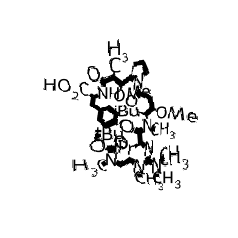 CC[C@H](C)[C@@H]([C@@H](CC(=O)N1CCC[C@H]1[C@H](OC)[C@@H](C)C(=O)NC(Cc1ccccc1)C(=O)O)OC)N(C)C(=O)[C@@H](/N=C(/N(C)C)N(C)CCN(C)C(=O)OC(C)(C)C)C(C)C